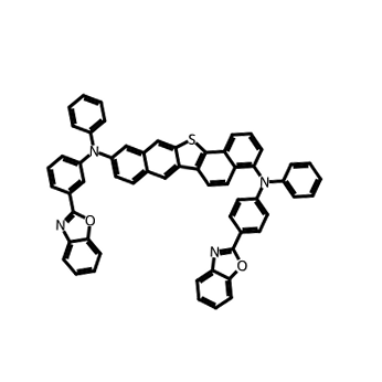 c1ccc(N(c2cccc(-c3nc4ccccc4o3)c2)c2ccc3cc4c(cc3c2)sc2c3cccc(N(c5ccccc5)c5ccc(-c6nc7ccccc7o6)cc5)c3ccc42)cc1